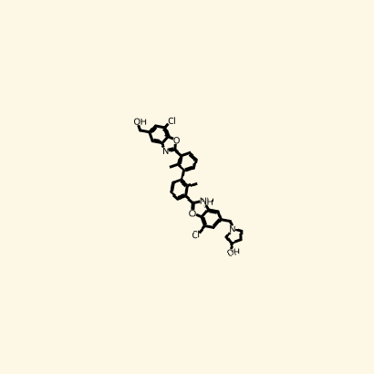 Cc1c(-c2nc3cc(CO)cc(Cl)c3o2)cccc1-c1cccc(C2Nc3cc(CN4CCC(O)C4)cc(Cl)c3O2)c1C